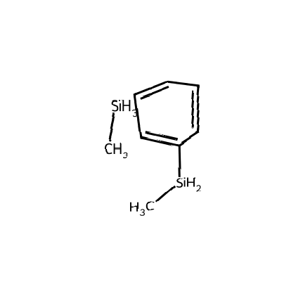 C[SiH2]c1ccccc1.C[SiH3]